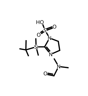 CC(C)(C)[Si](C)(C)C1=NCCN1S(=O)(=O)O.CN(C)C=O